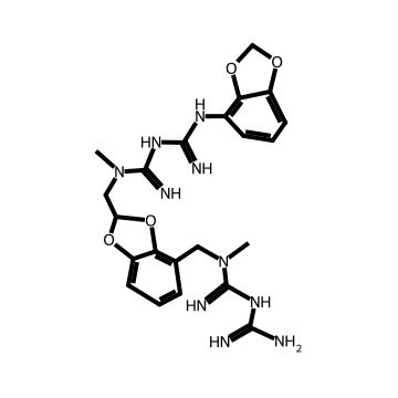 CN(Cc1cccc2c1OC(CN(C)C(=N)NC(=N)Nc1cccc3c1OCO3)O2)C(=N)NC(=N)N